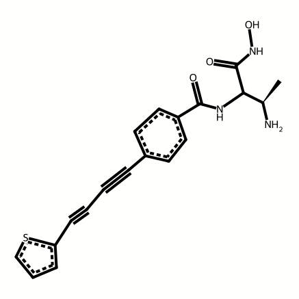 C[C@@H](N)C(NC(=O)c1ccc(C#CC#Cc2cccs2)cc1)C(=O)NO